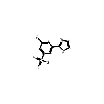 O=S(=O)(Cl)c1cc(Cl)cc(-c2nccs2)c1